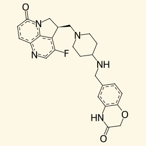 O=C1COc2ccc(CNC3CCN(C[C@@H]4Cn5c(=O)ccc6ncc(F)c4c65)CC3)cc2N1